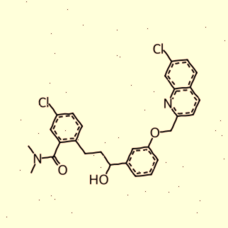 CN(C)C(=O)c1cc(Cl)ccc1CCC(O)c1cccc(OCc2ccc3ccc(Cl)cc3n2)c1